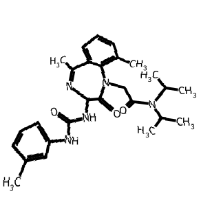 CC1=NC(NC(=O)Nc2cccc(C)c2)C(=O)N(CC(=O)N(C(C)C)C(C)C)c2c(C)cccc21